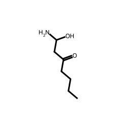 CCCCC(=O)CC(N)O